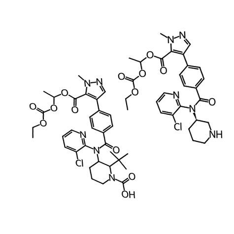 CCOC(=O)OC(C)OC(=O)c1c(-c2ccc(C(=O)N(c3ncccc3Cl)C3CCCN(C(=O)O)C3C(C)(C)C)cc2)cnn1C.CCOC(=O)OC(C)OC(=O)c1c(-c2ccc(C(=O)N(c3ncccc3Cl)[C@@H]3CCCNC3)cc2)cnn1C